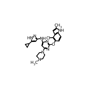 Cc1cc2c(Cl)c(Oc3nc(Nc4cc(C5CC5)[nH]n4)cc(N4CCN(C)CC4)n3)ccc2[nH]1